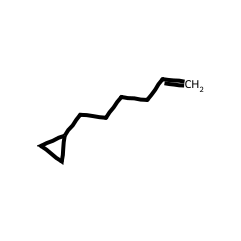 C=CCCCCC1[CH]C1